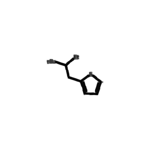 CCCCC(CC)Cc1cc[c]s1